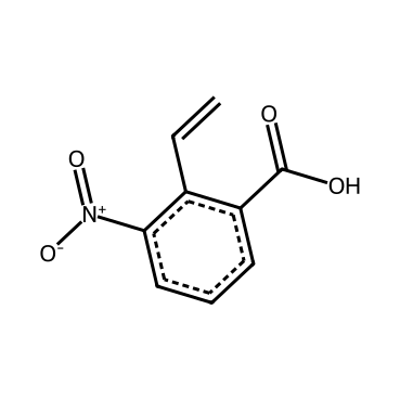 C=Cc1c(C(=O)O)cccc1[N+](=O)[O-]